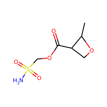 CC1OCC1C(=O)OCS(N)(=O)=O